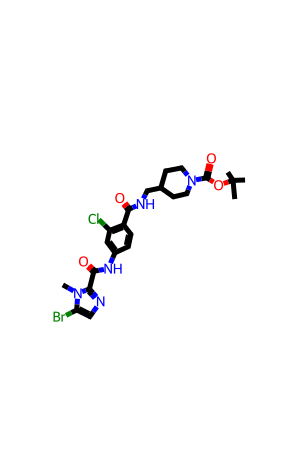 Cn1c(Br)cnc1C(=O)Nc1ccc(C(=O)NCC2CCN(C(=O)OC(C)(C)C)CC2)c(Cl)c1